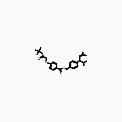 C/C(I)=C\C(c1ccc(COC(=O)c2ccc(OCC(=O)OC(C)(C)C)cc2)cc1)C(C)C